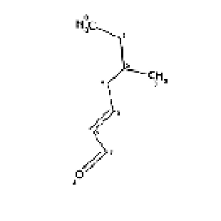 CCC(C)CC=CC=O